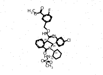 COC(=O)c1cc(CONC(=O)[C@@H]2c3ccccc3C(=O)N([C@H]3CCCC[C@@H]3NS(C)(=O)=O)[C@H]2c2ccc(Cl)cc2Cl)ccc1F